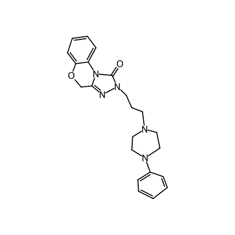 O=c1n(CCCN2CCN(c3ccccc3)CC2)nc2n1-c1ccccc1OC2